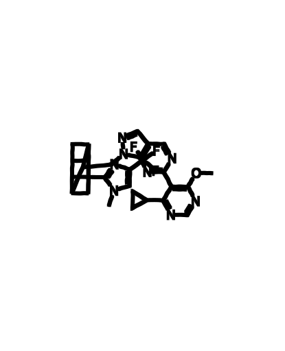 COc1ncnc(C2CC2)c1-c1ncc2cnn(CC3C4C5C6CC37C6C5(c3nc(C(F)(F)F)cn3C)C47)c2n1